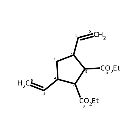 C=CC1CC(C=C)C(C(=O)OCC)C1C(=O)OCC